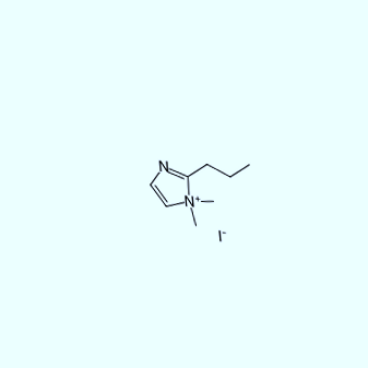 CCCC1=NC=C[N+]1(C)C.[I-]